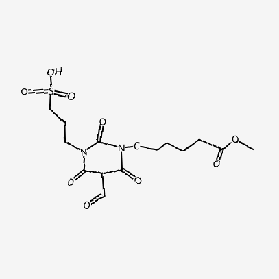 COC(=O)CCCCCN1C(=O)C(C=O)C(=O)N(CCCS(=O)(=O)O)C1=O